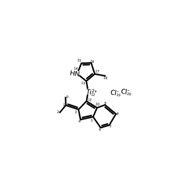 CC(C)=C1C=c2ccccc2=[C]1[Ti+2][c]1[nH]ccc1C.[Cl-].[Cl-]